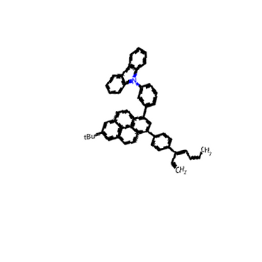 C=C/C(=C\C=C/C)c1ccc(-c2cc(-c3cccc(-n4c5ccccc5c5ccccc54)c3)c3ccc4cc(C(C)(C)C)cc5ccc2c3c54)cc1